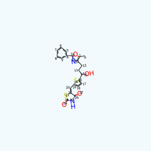 Cc1oc(-c2ccccc2)nc1CCC(O)c1ccc(/C=C2/SC(=O)NC2=O)s1